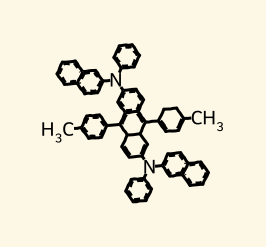 CC1=CC=C(C2=c3ccc(N(c4ccccc4)c4ccc5ccccc5c4)cc3=C(c3ccc(C)cc3)C3C=CC(N(c4ccccc4)c4ccc5ccccc5c4)=CC23)CC1